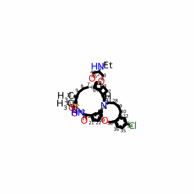 CCN[C@H]1CO[C@H]([C@H]2CCC[C@H](C)[C@@H](C)S(=O)(=O)NC(=O)c3ccc4c(c3)N(CCCCc3cc(Cl)ccc3CO4)C[C@@H]3CC[C@H]32)OC1